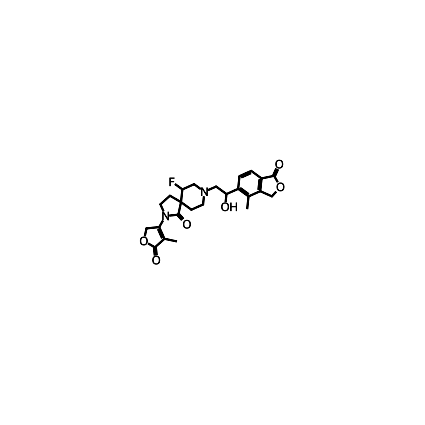 CC1=C(N2CCC3(CCN(CC(O)c4ccc5c(c4C)COC5=O)CC3F)C2=O)COC1=O